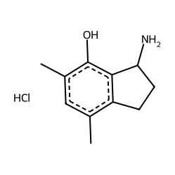 Cc1cc(C)c2c(c1O)C(N)CC2.Cl